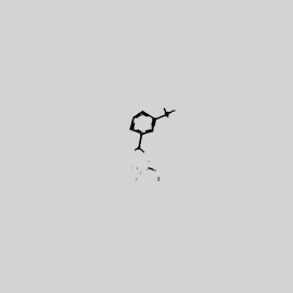 CO[SiH](OC)OC(C)c1cccc(C(F)(F)F)c1